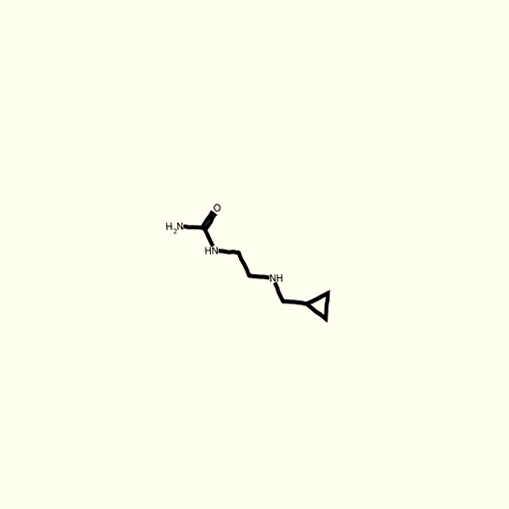 NC(=O)NCCNCC1CC1